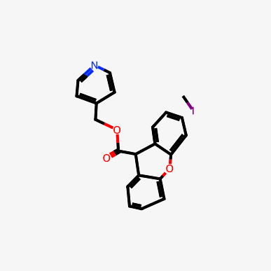 CI.O=C(OCc1ccncc1)C1c2ccccc2Oc2ccccc21